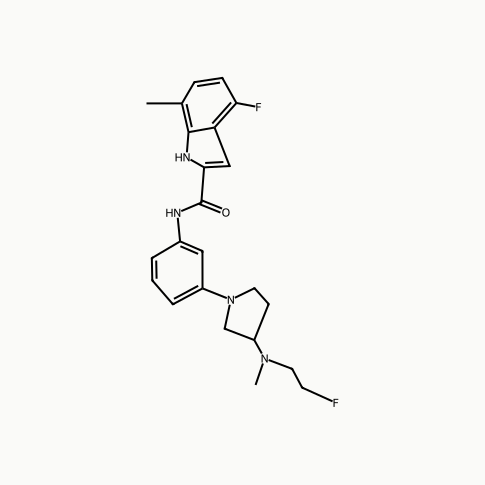 Cc1ccc(F)c2cc(C(=O)Nc3cccc(N4CCC(N(C)CCF)C4)c3)[nH]c12